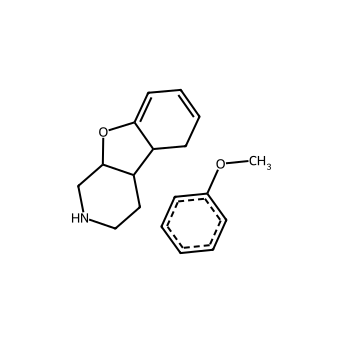 C1=CCC2C(=C1)OC1CNCCC12.COc1ccccc1